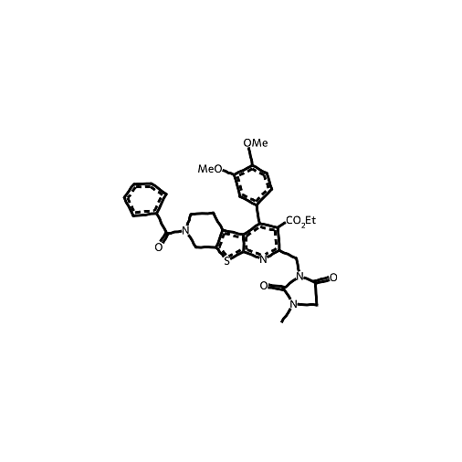 CCOC(=O)c1c(CN2C(=O)CN(C)C2=O)nc2sc3c(c2c1-c1ccc(OC)c(OC)c1)CCN(C(=O)c1ccccc1)C3